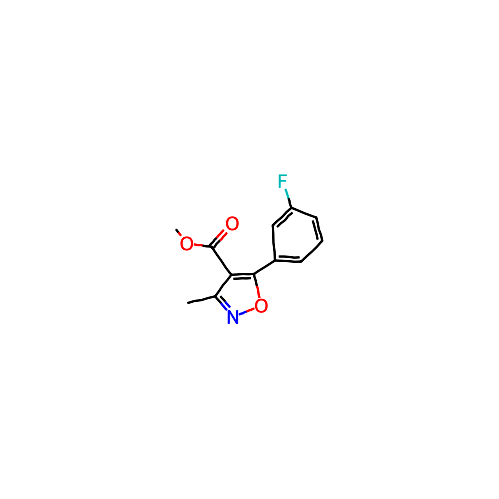 COC(=O)c1c(C)noc1-c1cccc(F)c1